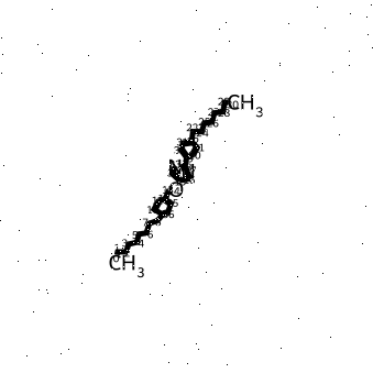 CCCCCCCCCc1ccc(COc2cnc(-c3ccc(CCCCCCCC)cc3)nc2)cc1